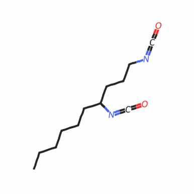 CCCCCCC(CCCN=C=O)N=C=O